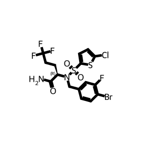 NC(=O)[C@@H](CCC(F)(F)F)N(Cc1ccc(Br)c(F)c1)S(=O)(=O)c1ccc(Cl)s1